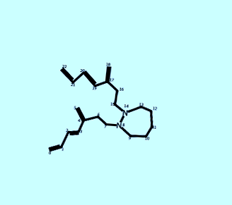 C=CC=CC(=C)CCN1CCCCCN1CCC(=C)C=CC=C